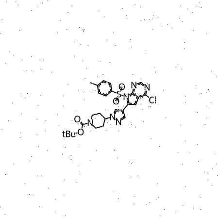 Cc1ccc(S(=O)(=O)n2c(-c3cnn(C4CCN(C(=O)OC(C)(C)C)CC4)c3)cc3c(Cl)ncnc32)cc1